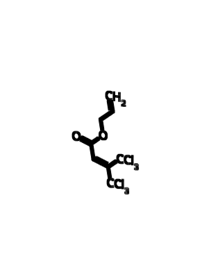 C=CCOC(=O)C=C(C(Cl)(Cl)Cl)C(Cl)(Cl)Cl